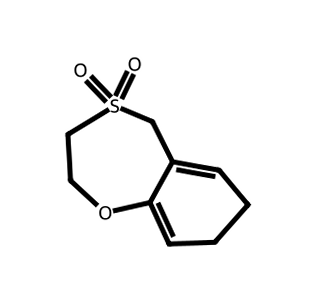 O=S1(=O)CCOC2=CCCC=C2C1